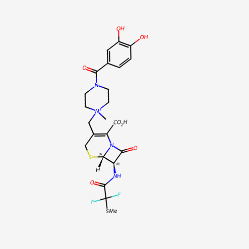 CSC(F)(F)C(=O)N[C@@H]1C(=O)N2C(C(=O)O)=C(C[N+]3(C)CCN(C(=O)c4ccc(O)c(O)c4)CC3)CS[C@@H]12